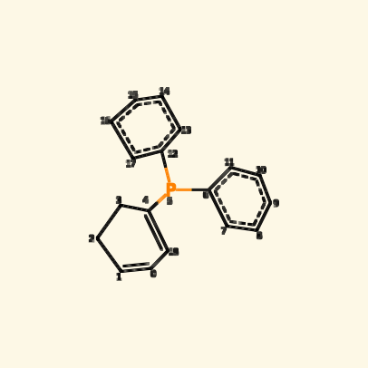 C1=CCCC(P(c2ccccc2)c2ccccc2)=C1